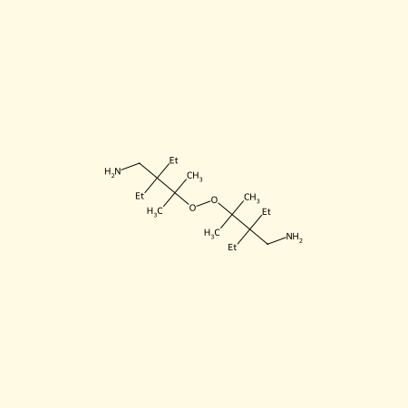 CCC(CC)(CN)C(C)(C)OOC(C)(C)C(CC)(CC)CN